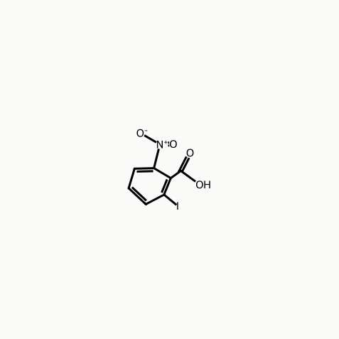 O=C(O)c1c(I)cccc1[N+](=O)[O-]